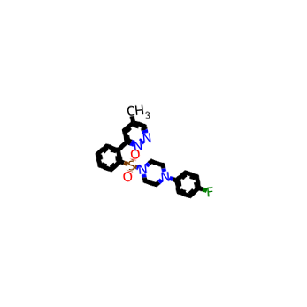 Cc1cnnc(-c2ccccc2S(=O)(=O)N2CCN(c3ccc(F)cc3)CC2)c1